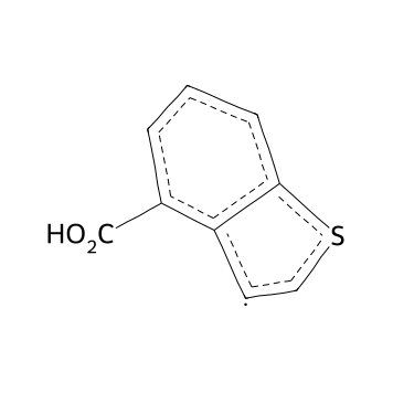 O=C(O)c1cccc2sc[c]c12